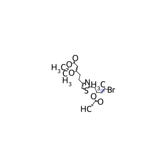 C#CC(=O)OC(/C=C(\C)Br)Cc1nc(CCC2=CC(=O)OC(C)(C)O2)cs1